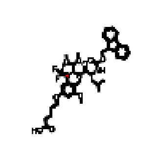 COc1cc(OCCCCC(=O)O)cc(OC)c1CN(C(=O)[C@H](CC(C)C)NC(=O)OCC1c2ccccc2-c2ccccc21)[C@@H](CC(F)(F)F)C(OC)OC